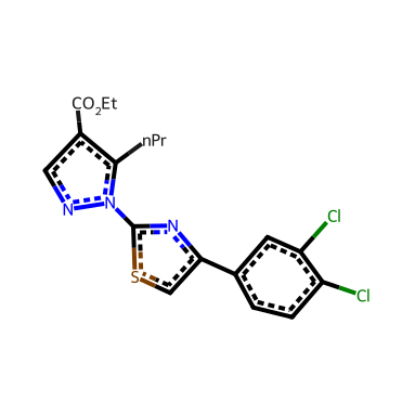 CCCc1c(C(=O)OCC)cnn1-c1nc(-c2ccc(Cl)c(Cl)c2)cs1